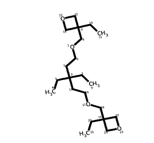 CCC(CC)(CCOCC1(CC)COC1)CCOCC1(CC)COC1